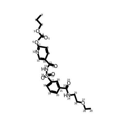 CCCOC(=O)Oc1ccc(C(=O)NS(=O)(=O)c2cccc(C(=O)NCCOCC)c2)cn1